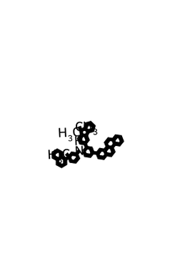 CC1(c2cccc3ccccc23)C=C(NC2C=CC(c3ccc4ccc5c6ccccc6ccc5c4c3)=CC2c2ccc3c(c2)-c2ccccc2C3(C)C)C=CC1